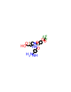 N=C(N)c1ccc(C(=O)N[C@@H](Cc2ccc(OC(=O)C(F)(F)F)cc2)C(=O)N2CCc3sc(CC(=O)O)cc3C2)cc1